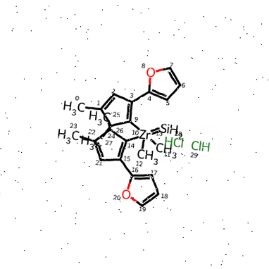 CC1=CC(c2ccco2)=[C]([Zr]([CH3])([CH3])(=[SiH2])[C]2=C(c3ccco3)C=C(C)C2C)C1C.Cl.Cl